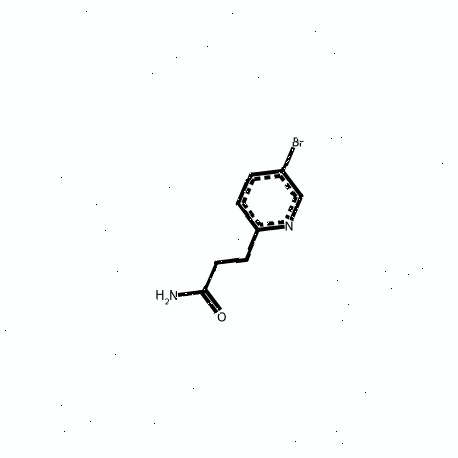 NC(=O)CCc1ccc(Br)cn1